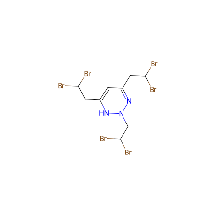 BrC(Br)CC1=CC(CC(Br)Br)=NN(CC(Br)Br)N1